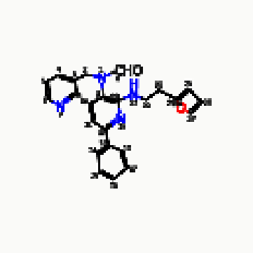 O=CN(Cc1cccnc1)c1ccc(-c2ccccc2)nc1NCCc1ccco1